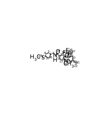 CCSc1ccc(CNC(=O)c2ccc(N(C)c3cc(C4CC4)cc(C4CC4)c3)c(OC(F)(F)F)c2)cc1